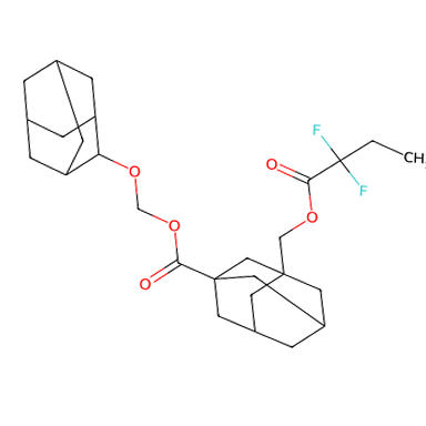 CCC(F)(F)C(=O)OCC12CC3CC(C1)CC(C(=O)OCOC1C4CC5CC(C4)CC1C5)(C3)C2